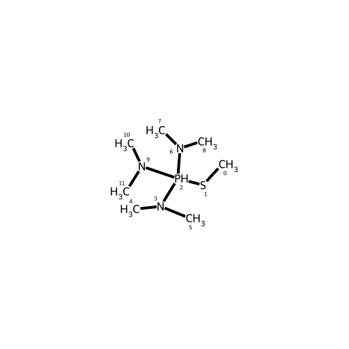 CS[PH](N(C)C)(N(C)C)N(C)C